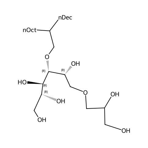 CCCCCCCCCCC(CCCCCCCC)CO[C@@H]([C@H](O)[C@H](O)CO)[C@H](O)COCC(O)CO